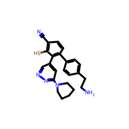 N#Cc1ccc(-c2ccc(CCN)cc2)c(-c2cnnc(N3CCCCC3)c2)c1S